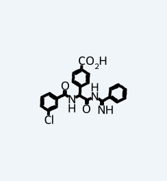 N=C(NC(=O)C(NC(=O)c1cccc(Cl)c1)c1ccc(C(=O)O)cc1)c1ccccc1